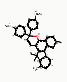 COc1ccc(C2(c3ccc(OC)cc3)C=Cc3c4c(c5cc(C)ccc5c3O2)-c2cccc(C(F)(F)F)c2C4(C)C)cc1